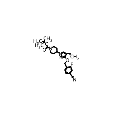 C=Cc1cn(C2CCN(C(=O)OC(C)(C)C)CC2)nc1OCc1ccc(C#N)cc1F